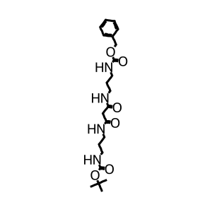 CC(C)(C)OC(=O)NCCCNC(=O)CC(=O)NCCCNC(=O)OCc1ccccc1